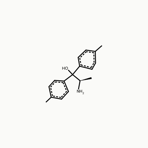 Cc1ccc(C(O)(c2ccc(C)cc2)[C@@H](C)N)cc1